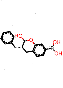 OB(O)c1ccc2c(c1)OC(O)[C@@H](Cc1ccccc1)C2